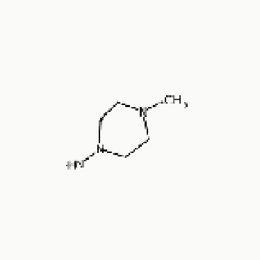 CN1CCN([NH])CC1